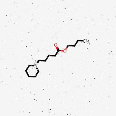 CCCCOC(=O)CCCC[SiH]1CCCCC1